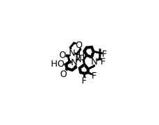 CC1(F)c2cccc3c2N(Cc2c(ccc(F)c2F)[C@@H]3N2[C@@H]3COCCN3C(=O)c3c(O)c(=O)ccn32)C1F